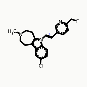 CN1CCc2c(n(/C=C/c3ccc(CF)nc3)c3ccc(Cl)cc23)CC1